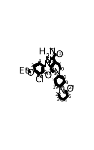 CCOc1ccc(-n2nc(C(N)=O)c3c2C(=O)N(c2ccc(N4CCCCC4=O)cc2)CC3)cc1Cl